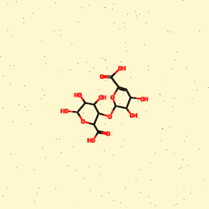 O=C(O)C1=CC(O)C(O)C(OC2C(C(=O)O)OC(O)C(O)C2O)O1